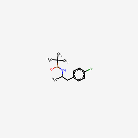 CC(Cc1ccc(Br)cc1)N[S@@+]([O-])C(C)(C)C